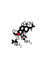 CC(C)[C@@H](C)[C@@]1(C)CC[C@]2(C)[C@H]3CC[C@@H]4[C@@]5(COC[C@]4(C)[C@@H](OCC(C)(N)C(C)C)[C@H](n4nnc(N)n4)C5)C3=CC(=O)[C@@]2(C)[C@@H]1C(=O)O